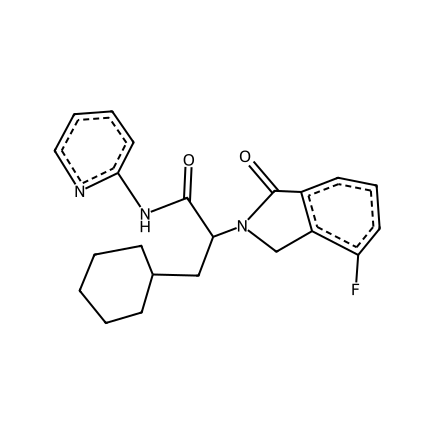 O=C(Nc1ccccn1)C(CC1CCCCC1)N1Cc2c(F)cccc2C1=O